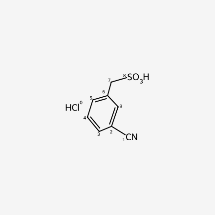 Cl.N#Cc1cccc(CS(=O)(=O)O)c1